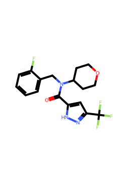 O=C(c1cc(C(F)(F)F)n[nH]1)N(Cc1ccccc1F)C1CCOCC1